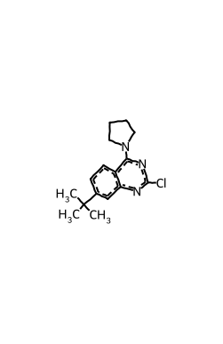 CC(C)(C)c1ccc2c(N3CCCC3)nc(Cl)nc2c1